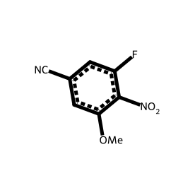 COc1cc(C#N)cc(F)c1[N+](=O)[O-]